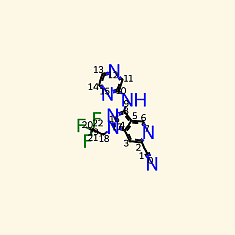 N#Cc1cc2c(cn1)c(Nc1cnccn1)nn2CC(F)(F)F